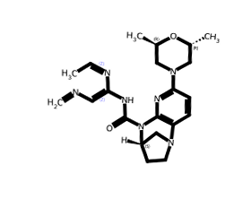 C=N/C=C(\N=C/C)NC(=O)N1c2nc(N3C[C@@H](C)O[C@H](C)C3)ccc2N2CC[C@H]1C2